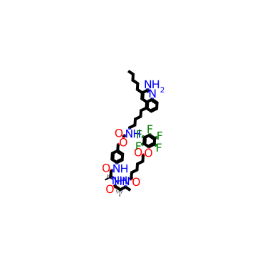 CCCCCc1cc2c(CCCCCNC(=O)OCc3ccc(NC(=O)[C@H](C)NC(=O)[C@@H](C)C(C)NC(=O)CCCCC(=O)Oc4c(F)c(F)c(F)c(F)c4F)cc3)cccc2nc1N